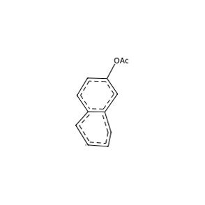 CC(=O)Oc1ccc2c[c]ccc2c1